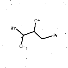 CC(C)CC(O)C(C)C(C)C